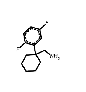 NCC1(c2cc(F)ccc2F)CCCCC1